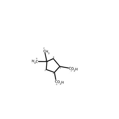 CC1(C)CC(C(=O)O)C(C(=O)O)C1